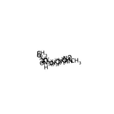 CNC(=O)c1ccc(N2CCC(N3CCC(c4ccc(CCOC)c(=O)[nH]4)C3)CC2)cn1